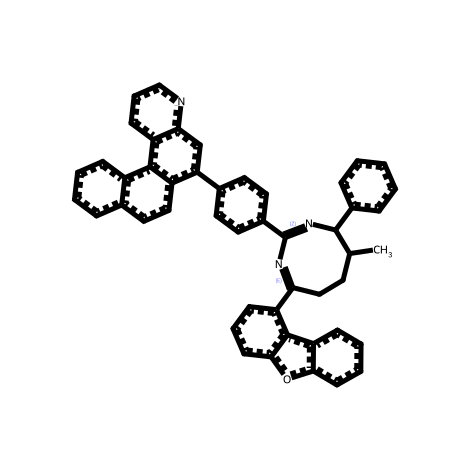 CC1CC/C(c2cccc3oc4ccccc4c23)=N\C(c2ccc(-c3cc4ncccc4c4c3ccc3ccccc34)cc2)=N/C1c1ccccc1